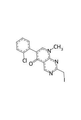 Cn1cc(-c2ccccc2Cl)c(=O)c2cnc(CI)nc21